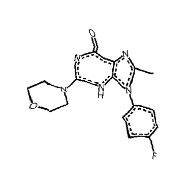 Cc1nc2c(=O)nc(N3CCOCC3)[nH]c2n1-c1ccc(F)cc1